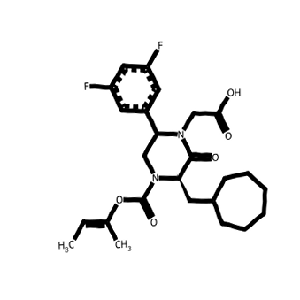 C/C=C(\C)OC(=O)N1CC(c2cc(F)cc(F)c2)N(CC(=O)O)C(=O)[C@H]1CC1CCCCCC1